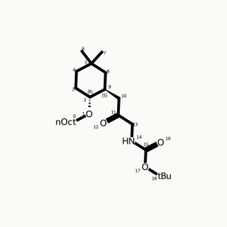 CCCCCCCCO[C@@H]1CCC(C)(C)C[C@H]1CC(=O)CNC(=O)OC(C)(C)C